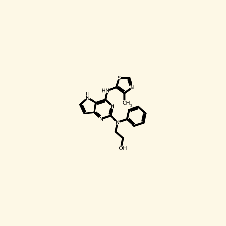 Cc1ncsc1Nc1nc(N(CCO)c2ccccc2)nc2cc[nH]c12